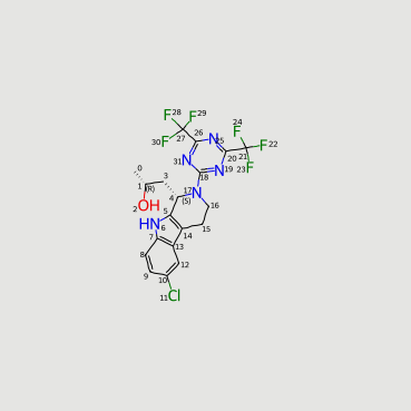 C[C@@H](O)C[C@H]1c2[nH]c3ccc(Cl)cc3c2CCN1c1nc(C(F)(F)F)nc(C(F)(F)F)n1